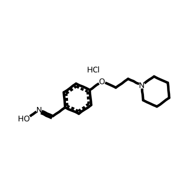 Cl.ON=Cc1ccc(OCCN2CCCCC2)cc1